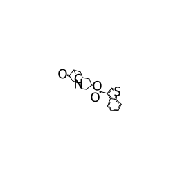 O=C(OC1CC2CC3CC(C1)N2CC3=O)c1csc2ccccc12